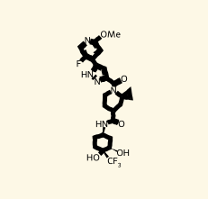 COc1cc(-c2cc(C(=O)N3CCC(C(=O)N[C@@H]4CC[C@](O)(C(F)(F)F)[C@@H](O)C4)CC34CC4)n[nH]2)c(F)cn1